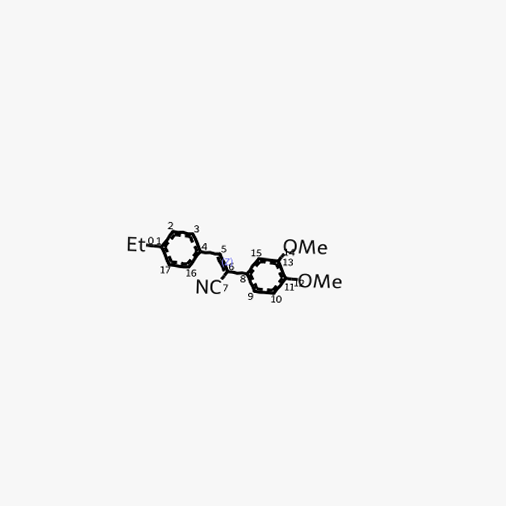 CCc1ccc(/C=C(\C#N)c2ccc(OC)c(OC)c2)cc1